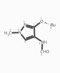 CC[C@@H](C)Oc1nn(C)cc1NC=O